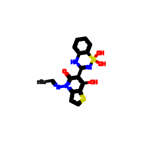 CCCCC=Nn1c(=O)c(C2=NS(O)(O)c3ccccc3N2)c(O)c2sccc21